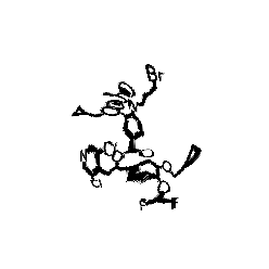 CS(=O)(=O)N(CCCBr)c1ccc(C(=O)OC(Cc2c(Cl)cncc2Cl)c2ccc(OC(F)F)c(OCC3CC3)c2)cc1OCC1CC1